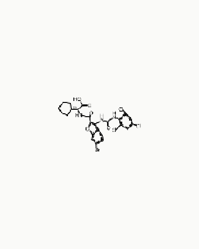 O=C(Nc1c(Cl)cc(Cl)cc1Cl)Nc1c(C(=O)N[C@H](C(=O)O)C2CCCCC2)oc2cc(Br)ccc12